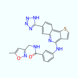 Cc1cc(CNC(=O)c2cccc(Nc3nc4cc(-c5nnn[nH]5)ccc4c4sccc34)c2)no1